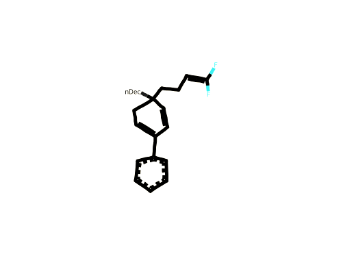 CCCCCCCCCCC1(CCC=C(F)F)C=CC(c2ccccc2)=CC1